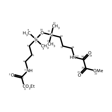 CCOC(=O)C(=O)NCCC[Si](C)(C)O[Si](C)(C)CCCNC(=O)C(=O)OC